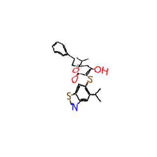 CC(C)c1cc2ncsc2cc1SC1=C(O)C[C@@](CCc2ccccc2)(C(C)C)OC1=O